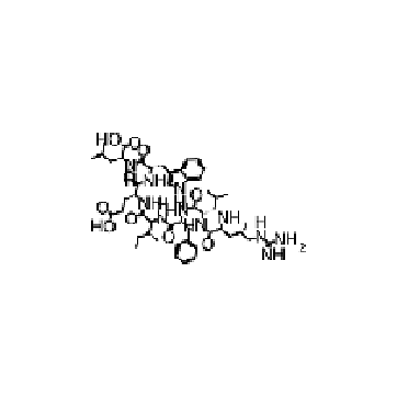 CC[C@H](C)[C@H](NC(=O)[C@H](Cc1ccccc1)NC(=O)[C@H](CC(C)C)NC(=O)[C@@H](N)CCCNC(=N)N)C(=O)N[C@@H](CCC(=O)O)C(=O)N[C@@H](Cc1c[nH]c2ccccc12)C(=O)N[C@@H](CC(C)C)C(=O)O